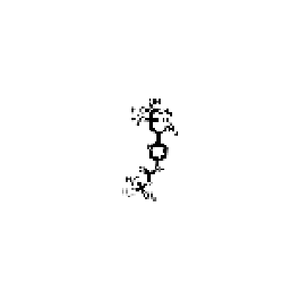 C[C@H](CC(C)(C)[Si](C)(C)O)c1ccc(NC(=O)OC(C)(C)C)cn1